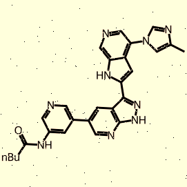 CCCCC(=O)Nc1cncc(-c2cnc3[nH]nc(-c4cc5c(-n6cnc(C)c6)cncc5[nH]4)c3c2)c1